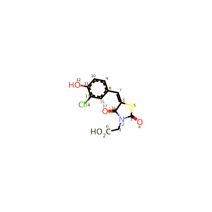 O=C(O)CN1C(=O)SC(=Cc2ccc(O)c(Cl)c2)C1=O